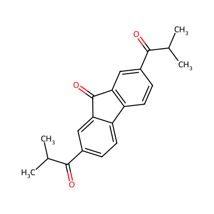 CC(C)C(=O)c1ccc2c(c1)C(=O)c1cc(C(=O)C(C)C)ccc1-2